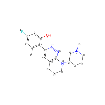 Cc1cc(F)cc(O)c1-c1cc2c(nn1)N([C@H]1CCCN(C)C1)CCC2